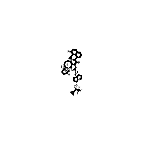 C#Cc1c(F)ccc2cccc(-c3nc4c5c(nc(OC[C@@]67CCCN6[C@H](COC(C6CC6)C(F)(F)F)CC7)nc5c3F)N3C[C@@H]5CC[C@@H](N5)[C@H]3CCC4)c12